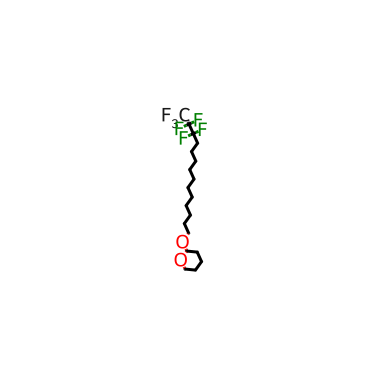 FC(F)(F)C(F)(F)C(F)(F)CCCCCCCCCCCOC1CCCCO1